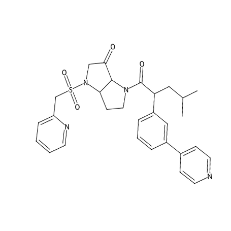 CC(C)CC(C(=O)N1CCC2C1C(=O)CN2S(=O)(=O)Cc1ccccn1)c1cccc(-c2ccncc2)c1